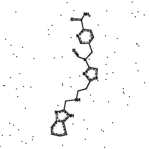 NC(=O)c1ccc(CN(C=O)c2csc(CCNCc3nc4ccccc4[nH]3)n2)cn1